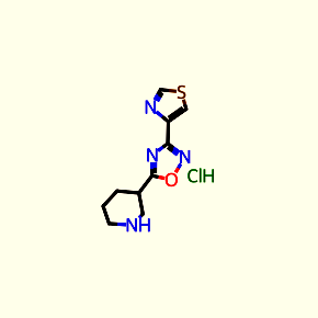 Cl.c1nc(-c2noc(C3CCCNC3)n2)cs1